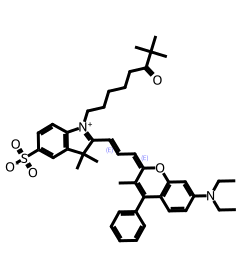 CCN(CC)c1ccc2c(c1)O/C(=C/C=C/C1=[N+](CCCCCC(=O)C(C)(C)C)c3ccc(S(=O)(=O)[O-])cc3C1(C)C)C(C)=C2c1ccccc1